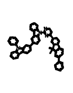 CC1(C)c2cc(-c3ccccc3)ccc2-c2ccc(-c3ccnc(-n4c5ccccc5c5cc(-c6ccc7c8ccccc8n(-c8ccccc8)c7c6)ccc54)n3)cc21